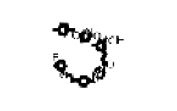 Cc1ccc(COc2ccc(Oc3c(C)cc(C=CC(=O)N4CCN(Cc5ccc(CCOc6ccc(F)cc6)cc5)CC4)cc3C)nc2)cc1.Cl